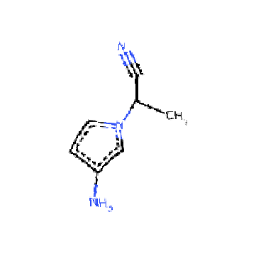 CC(C#N)n1ccc(N)c1